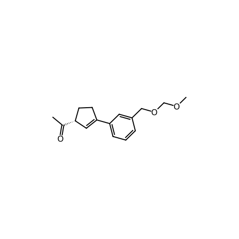 COCOCc1cccc(C2=C[C@H](C(C)=O)CC2)c1